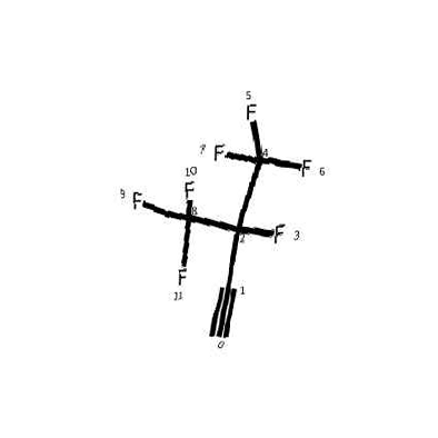 C#CC(F)(C(F)(F)F)C(F)(F)F